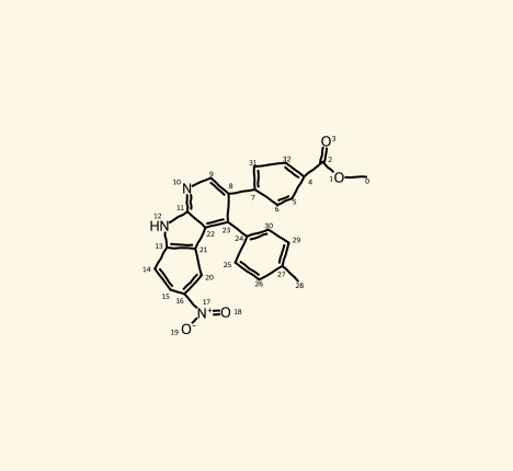 COC(=O)c1ccc(-c2cnc3[nH]c4ccc([N+](=O)[O-])cc4c3c2-c2ccc(C)cc2)cc1